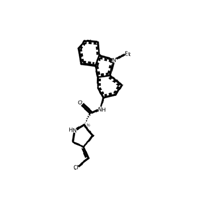 CCn1c2ccccc2c2cc(NC(=O)[C@@H]3CC(=CCl)CN3)ccc21